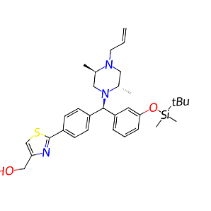 C=CCN1C[C@H](C)N([C@H](c2ccc(-c3nc(CO)cs3)cc2)c2cccc(O[Si](C)(C)C(C)(C)C)c2)C[C@H]1C